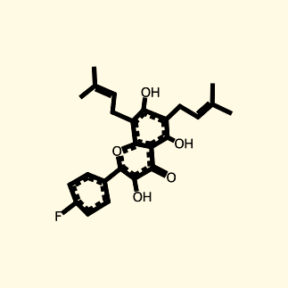 CC(C)=CCc1c(O)c(CC=C(C)C)c2oc(-c3ccc(F)cc3)c(O)c(=O)c2c1O